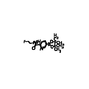 CC1(C)OB(c2ccc(C(=O)NCCF)nc2)OC1(C)C